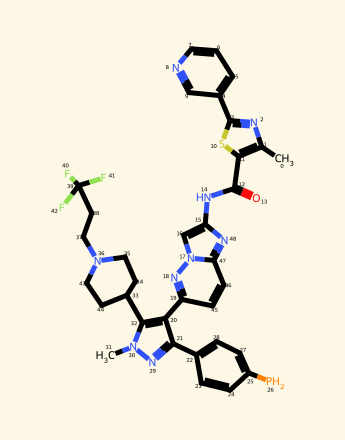 Cc1nc(-c2cccnc2)sc1C(=O)Nc1cn2nc(-c3c(-c4ccc(P)cc4)nn(C)c3C3CCN(CCC(F)(F)F)CC3)ccc2n1